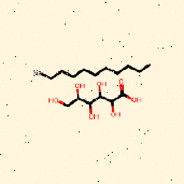 CCCCCCCCC[CH2][Na].O=C(O)C(O)C(O)C(O)C(O)CO